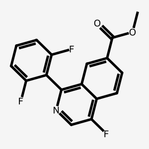 COC(=O)c1ccc2c(F)cnc(-c3c(F)cccc3F)c2c1